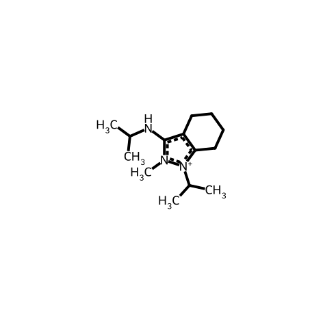 CC(C)Nc1c2c([n+](C(C)C)n1C)CCCC2